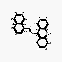 C(=Nc1c2c(nc3ccccc13)CCCC2)c1cccc2ccccc12